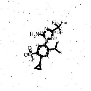 CC(C)c1cc(C2CC2)c(S(=O)(=O)F)cc1-n1nc(C(F)(F)F)nc1N